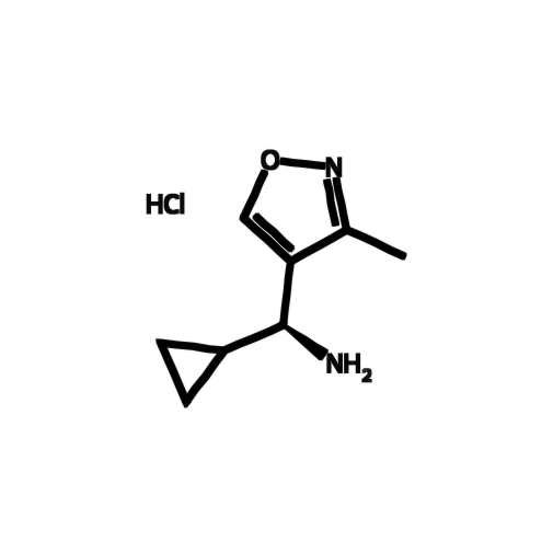 Cc1nocc1[C@@H](N)C1CC1.Cl